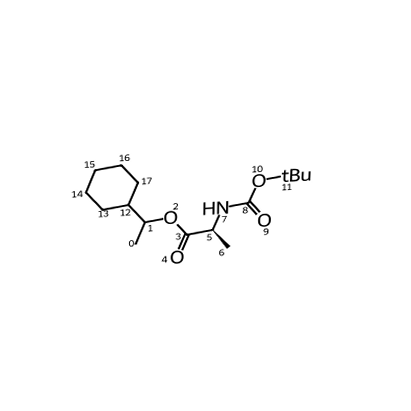 CC(OC(=O)[C@H](C)NC(=O)OC(C)(C)C)C1CCCCC1